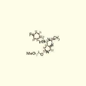 COCCOc1cc2c(NCc3ccc(F)cc3)nc(C)nc2cn1